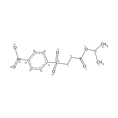 CC(C)OC(=O)CCS(=O)(=O)c1ccc([N+](=O)[O-])cc1